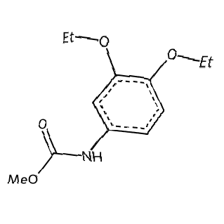 CCOc1ccc(NC(=O)OC)cc1OCC